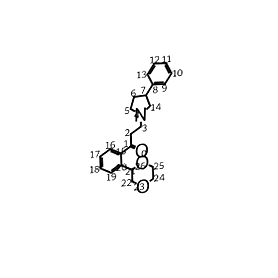 O=C(CCN1CCC(c2ccccc2)C1)c1ccccc1C1COCCO1